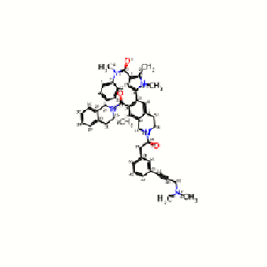 Cc1c(C(=O)N(C)c2ccccc2)cc(-c2cc3c(cc2C(=O)N2Cc4ccccc4C[C@H]2C)CN(C(=O)Cc2cccc(C#CCN(C)C)c2)CC3)n1C